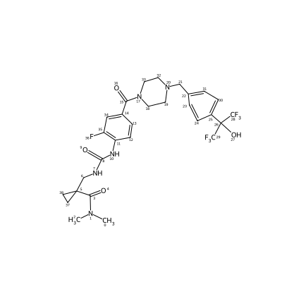 CN(C)C(=O)C1(CNC(=O)Nc2ccc(C(=O)N3CCN(Cc4ccc(C(O)(C(F)(F)F)C(F)(F)F)cc4)CC3)cc2F)CC1